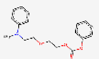 CCCCN(CCOCCOC(=O)Oc1ccccc1)c1ccccc1